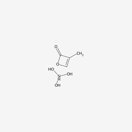 CC1=COC1=O.O[SiH](O)O